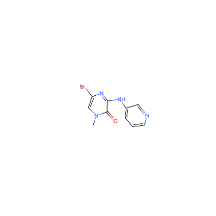 Cn1cc(Br)nc(Nc2cccnc2)c1=O